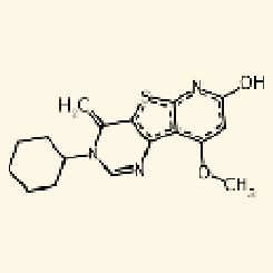 C=C1c2sc3nc(O)cc(OC)c3c2N=CN1C1CCCCC1